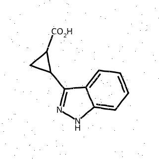 O=C(O)C1CC1c1n[nH]c2ccccc12